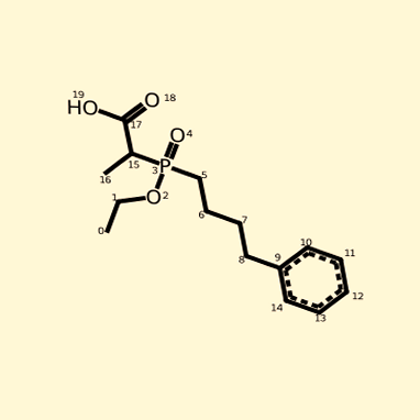 CCOP(=O)(CCCCc1ccccc1)C(C)C(=O)O